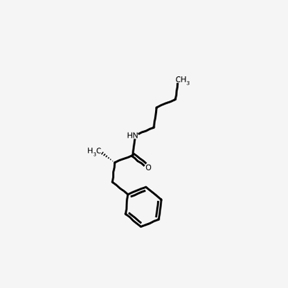 CCCCNC(=O)[C@@H](C)Cc1ccccc1